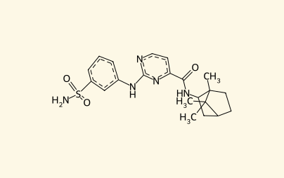 CC1(C)C2CCC1(C)C(NC(=O)c1ccnc(Nc3cccc(S(N)(=O)=O)c3)n1)C2